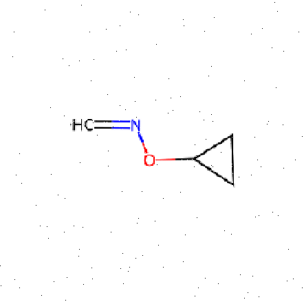 [CH]=NOC1CC1